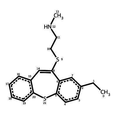 CCc1ccc2c(c1)C(SCCNC)=Cc1ccccc1S2